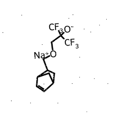 [Na+].[O-]C(COCC1CC2C=CC1C2)(C(F)(F)F)C(F)(F)F